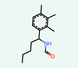 CCCCC(N[C]=O)c1ccc(C)c(C)c1C